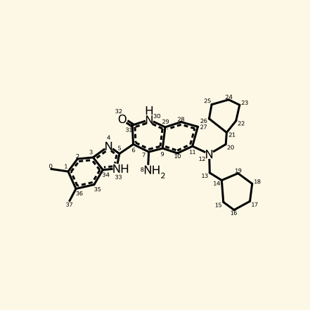 Cc1cc2nc(-c3c(N)c4cc(N(CC5CCCCC5)CC5CCCCC5)ccc4[nH]c3=O)[nH]c2cc1C